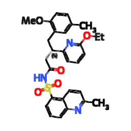 CCOc1cccc([C@H](CC(=O)NS(=O)(=O)c2cccc3nc(C)ccc23)Cc2cc(C)ccc2OC)n1